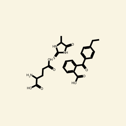 CC1NC(=S)NC1=O.CCc1ccc(C(=O)c2ccccc2C(=O)O)cc1.NC(CCC(=O)O)C(=O)O